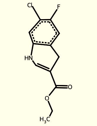 CCOC(=O)C1=CNc2cc(Cl)c(F)cc2C1